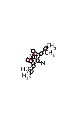 Cc1ccc(-c2ccc3c(c2)c2ccccc2n3-c2cc(C#N)cc(-n3c4ccccc4c4cc(-c5ccc(C)cc5C)ccc43)c2-c2cc(-c3ccccc3)nc(-c3ccccc3)c2)c(C)c1